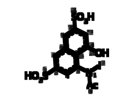 CC(=O)N(I)c1cc(S(=O)(=O)O)cc2cc(S(=O)(=O)O)cc(O)c12